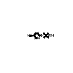 N#Cc1ccc(N2CC3(CNC3)C2)nc1